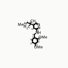 COCC(C)(C)c1cnnc(NCc2ccc(OC)cc2OC)c1